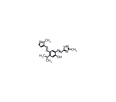 Cc1nsc(/N=N/c2cc(/N=N/c3ccnn3C)c(N(C)C)cc2O)n1